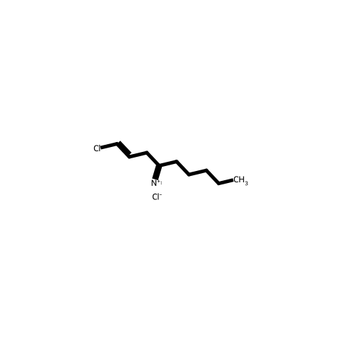 CCCCCC(=[N+])CC=CCl.[Cl-]